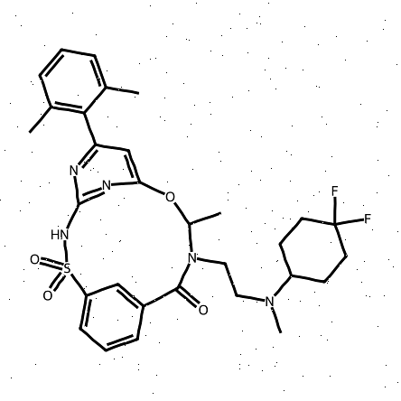 Cc1cccc(C)c1-c1cc2nc(n1)NS(=O)(=O)c1cccc(c1)C(=O)N(CCN(C)C1CCC(F)(F)CC1)C(C)O2